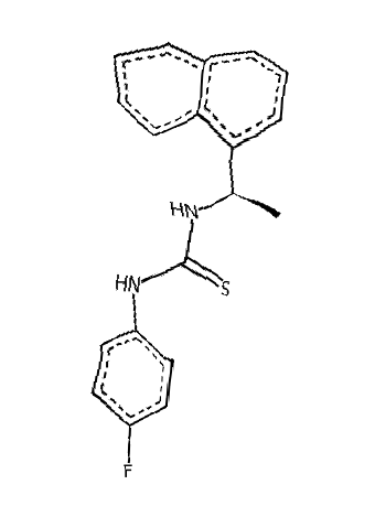 C[C@@H](NC(=S)Nc1ccc(F)cc1)c1cccc2ccccc12